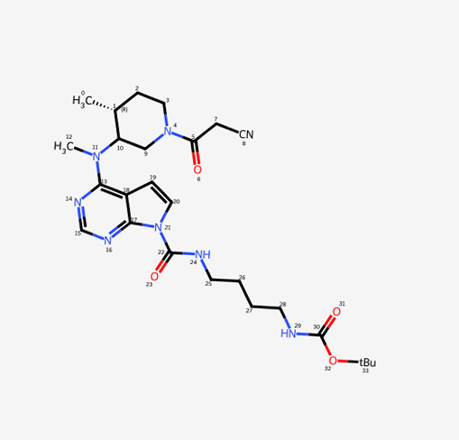 C[C@@H]1CCN(C(=O)CC#N)CC1N(C)c1ncnc2c1ccn2C(=O)NCCCCNC(=O)OC(C)(C)C